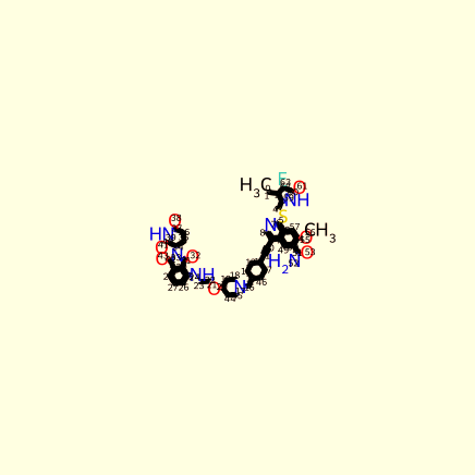 CCC1C(CSc2ncc(C#CC3CCC(CN4CCC(OCCNc5cccc6c5C(=O)N(C5CCC(=O)NC5=O)C6=O)CC4)CC3)c3cc(C(N)=O)c(OC)cc23)NC(=O)C1F